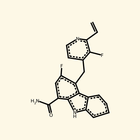 C=Cc1nccc(Cc2c(F)cc(C(N)=O)c3[nH]c4ccccc4c23)c1F